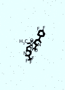 CCS(=O)(=O)c1cc(-c2ccc(F)c(F)c2)cnc1C(=O)N1CCc2ncc(C(F)(F)F)cc21